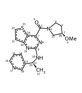 CO[C@@H]1CCN(C(=O)c2nc(N[C@@H](C)c3cccnc3)nc3ccsc23)C1